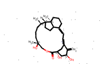 C=C1/C2=C\C=C3CCC[C@@]4(C)C3CC[C@@H]4[C@H](C)CCC[C@@](C)(O)COC(=O)[C@@](O)(C2)C[C@@H]1O